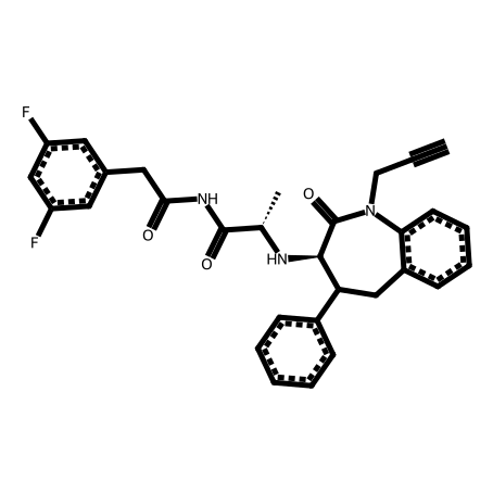 C#CCN1C(=O)[C@H](N[C@@H](C)C(=O)NC(=O)Cc2cc(F)cc(F)c2)C(c2ccccc2)Cc2ccccc21